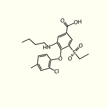 CCCCNc1cc(C(=O)O)cc(S(=O)(=O)CC)c1Oc1ccc(C)cc1Cl